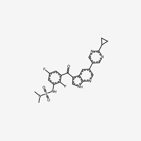 CN(C)S(=O)(=O)Nc1cc(F)cc(C(=O)c2c[nH]c3ncc(-c4cnc(C5CC5)nc4)cc23)c1F